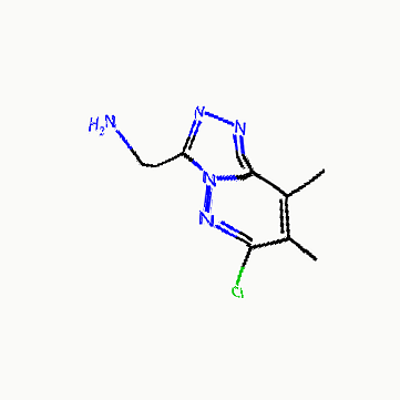 Cc1c(Cl)nn2c(CN)nnc2c1C